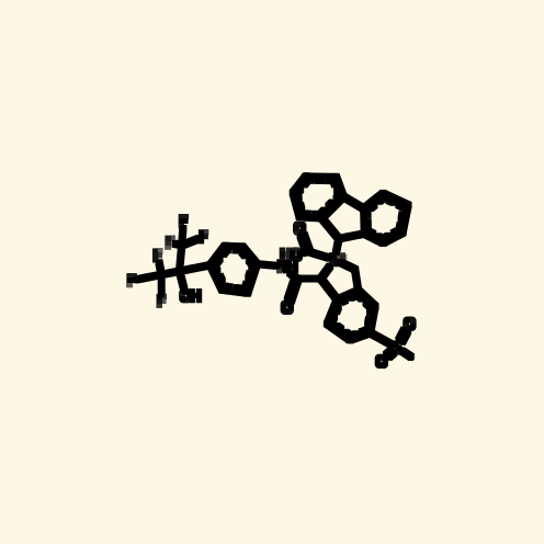 CS(=O)(=O)c1ccc2c(c1)C[N+](C(=O)O)(C1c3ccccc3-c3ccccc31)C2C(=O)Nc1ccc(C(O)(C(F)(F)F)C(F)(F)F)cc1